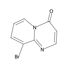 O=c1ccnc2c(Br)cccn12